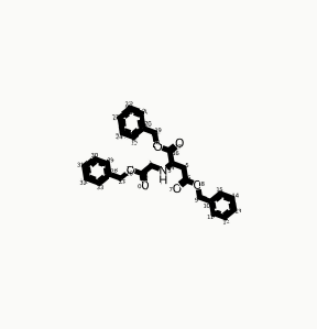 O=C(CNC(CC(=O)OCc1ccccc1)C(=O)OCc1ccccc1)OCc1ccccc1